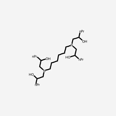 CCCC(O)CN(CCCCCCN(CC(O)CCC)CC(O)CCC)CC(O)CCC